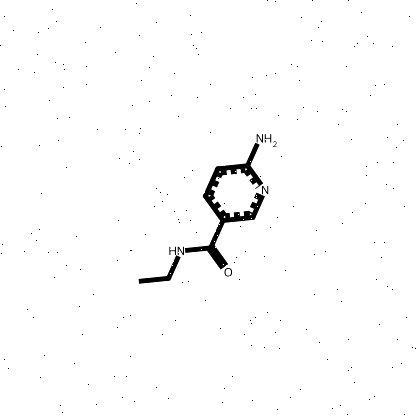 CCNC(=O)c1ccc(N)nc1